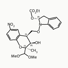 CCOC(=O)O[C@@H]1Cc2ccccc2N1OC[C@@H]1c2cc([N+](=O)[O-])ccc2O[C@](C)(C(OC)OC)[C@@H]1O